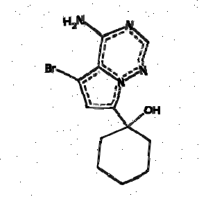 Nc1ncnn2c(C3(O)CCCCC3)cc(Br)c12